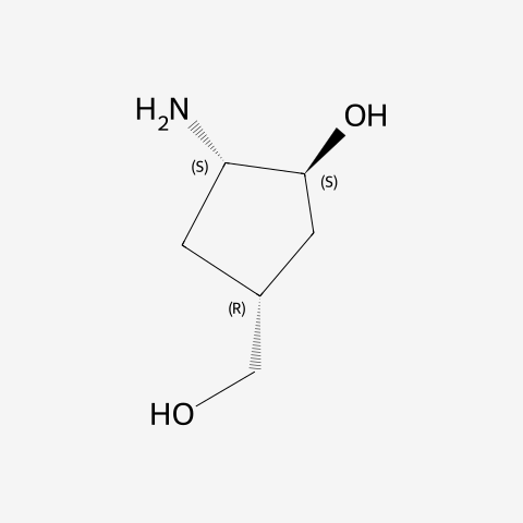 N[C@H]1C[C@@H](CO)C[C@@H]1O